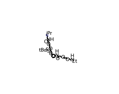 CCNCCOCCOCCC(=O)Nc1cccc(OCC(OCCOCC(=O)NC/C=C/C(C)C)SSC(C)(C)C)c1